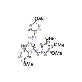 COc1ccc(/C=C/C(=O)Nc2ccc(OC)cc2/C=C/c2cc(OC)c(OC)c(OC)c2)cc1